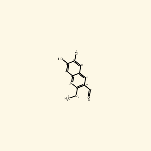 COc1nc2cc(O)c(Cl)cc2cc1C=O